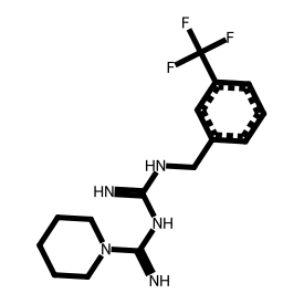 N=C(NCc1cccc(C(F)(F)F)c1)NC(=N)N1CCCCC1